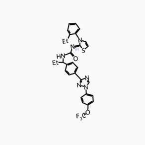 CCc1ccccc1-n1ccs/c1=N\C(=O)NC(CC)c1ccc(-c2ncn(-c3ccc(OC(F)(F)F)cc3)n2)cc1